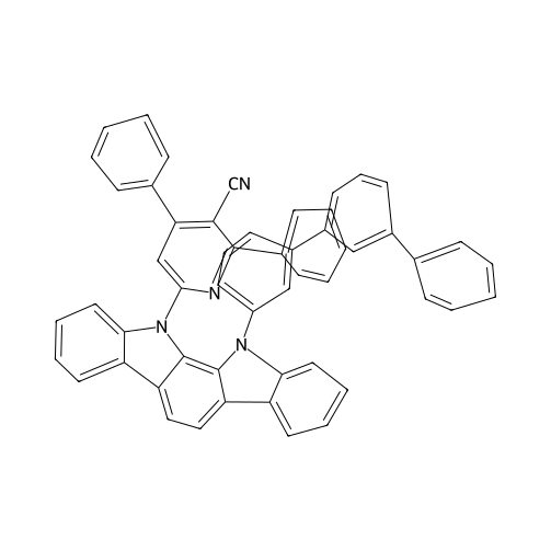 N#Cc1c(-c2ccccc2)cc(-n2c3ccccc3c3ccc4c5ccccc5n(-c5cccc(-c6cccc(-c7ccccc7)c6)c5)c4c32)nc1-c1ccccc1